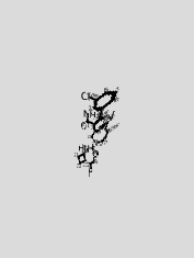 NC(=O)c1c(-c2cccc(Cl)c2)nn2c1CN(C(=O)N[C@@H]1CC[C@H]1C(F)F)CC2